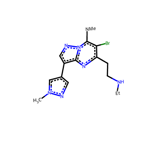 CCNCCc1nc2c(-c3cnn(C)c3)cnn2c(NC)c1Br